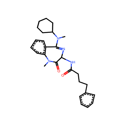 CN1C(=O)C(NC(=O)CCCc2ccccc2)N=C(N(C)C2CCCCC2)c2ccccc21